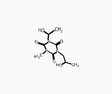 CC(O)Cn1c(=O)n(C)c(=O)n(C(C)O)c1=O